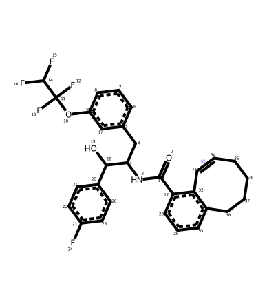 O=C(NC(Cc1cccc(OC(F)(F)C(F)F)c1)C(O)c1ccc(F)cc1)c1cccc2c1/C=C\CCCC2